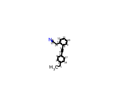 CCc1ccc(C#Cc2ccccc2CC#N)cc1